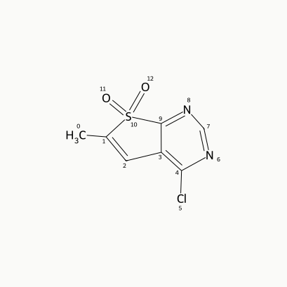 CC1=Cc2c(Cl)ncnc2S1(=O)=O